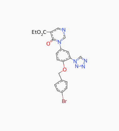 CCOC(=O)c1cncn(-c2ccc(OCc3ccc(Br)cc3)c(-n3cnnn3)c2)c1=O